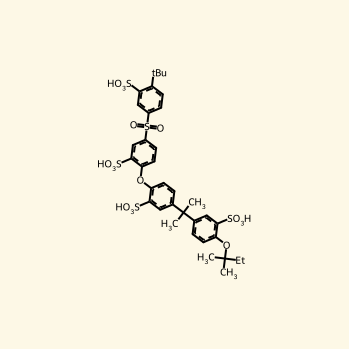 CCC(C)(C)Oc1ccc(C(C)(C)c2ccc(Oc3ccc(S(=O)(=O)c4ccc(C(C)(C)C)c(S(=O)(=O)O)c4)cc3S(=O)(=O)O)c(S(=O)(=O)O)c2)cc1S(=O)(=O)O